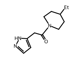 CCC1CCN(C(=O)Cc2ccn[nH]2)CC1